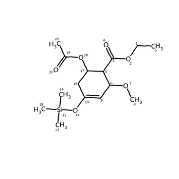 CCOC(=O)C1C(OC)C=C(O[Si](C)(C)C)CC1OC(C)=O